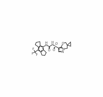 O=C(Nc1c2c(c(C(F)(F)F)c3c1CCC3)CCC2)NS(=O)(=O)c1cnn2c1OCC1(CC1)C2